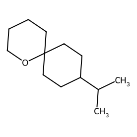 CC(C)C1CCC2(CCCCO2)CC1